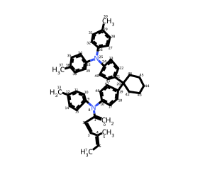 C=C(/C=C\C(C)=C/C)N(c1ccc(C)cc1)c1ccc(C2(c3ccc(N(c4ccc(C)cc4)c4ccc(C)cc4)cc3)CCCCC2)cc1